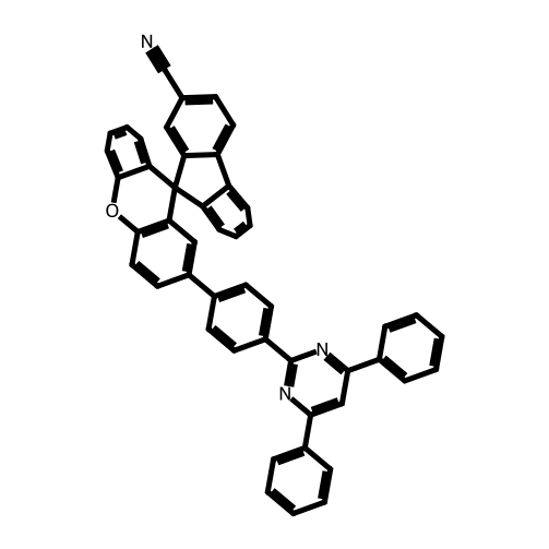 N#Cc1ccc2c(c1)C1(c3ccccc3Oc3ccc(-c4ccc(-c5nc(-c6ccccc6)cc(-c6ccccc6)n5)cc4)cc31)c1ccccc1-2